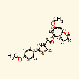 COc1ccc(-c2nc(COc3cc(OC)cc4o[c]cc34)cs2)cc1